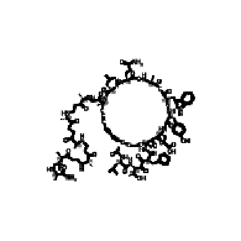 CC(=O)N[C@@H](CC(C)C)C(=O)N[C@H](C(=O)C(=O)[C@H](Cc1ccccc1)NN[C@]1(C)CCCCC#CC#CCCC[C@@](C)(C(=O)CN[C@@H](C)C(=O)CCN[C@@H](C)C(=O)CCC(=O)[C@H](C)NCCC(=O)[C@H](C)NCCC(=O)[C@H](C)NCN[C@H](C)C(N)=O)NC(=O)[C@H](CC(C)C)NN[C@@H](CCC(N)=O)C(=O)CN[C@@H](C)C(=O)CC(=O)[C@H](Cc2c[nH]c3ccccc23)NN[C@@H](Cc2ccc(O)cc2)C(=O)N[C@@H](CCC(=O)O)C(=O)C1=O)[C@@H](C)O